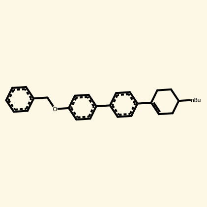 CCCCC1CC=C(c2ccc(-c3ccc(OCc4ccccc4)cc3)cc2)CC1